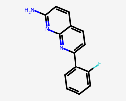 Nc1ccc2ccc(-c3ccccc3F)nc2n1